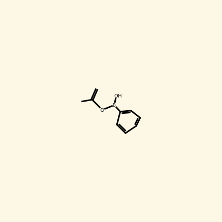 C=C(C)OB(O)c1ccccc1